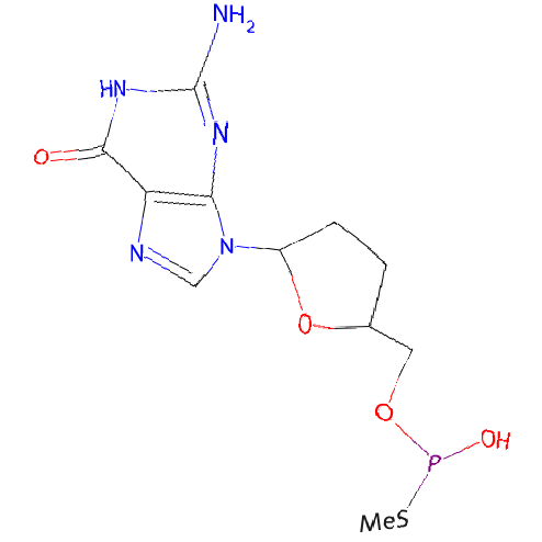 CSP(O)OCC1CCC(n2cnc3c(=O)[nH]c(N)nc32)O1